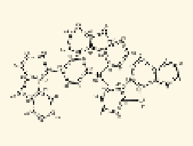 c1ccc2c(c1)ccc1c2oc2cccc(N(c3ccc(-c4cccc5sc6ccccc6c45)cc3)c3cccc4oc5ccccc5c34)c21